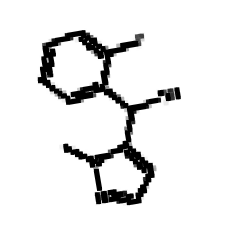 Cn1nccc1C(O)c1ccccc1F